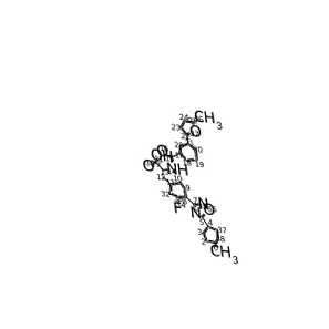 Cc1ccc(-c2nc(-c3ccc(C[C@@H](NC(=O)c4cccc(-c5ccc(C)o5)c4)C(=O)O)cc3F)no2)cc1